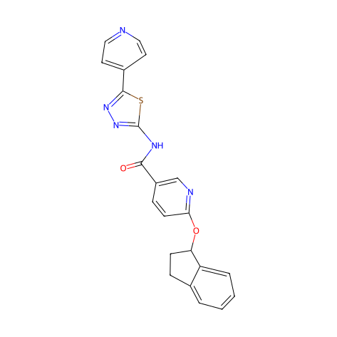 O=C(Nc1nnc(-c2ccncc2)s1)c1ccc(OC2CCc3ccccc32)nc1